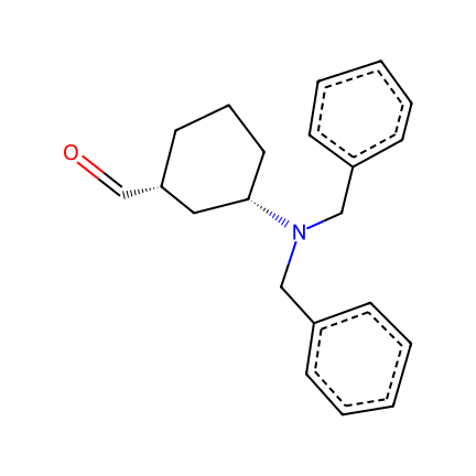 O=C[C@@H]1CCC[C@H](N(Cc2ccccc2)Cc2ccccc2)C1